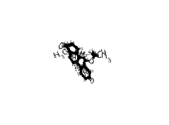 CC(=[SiH2])O[C@@H]1C[C@@H]2[C@H](CC[C@]3(C)C(=O)CC[C@@H]23)[C@H]2CCC(=O)C=C12